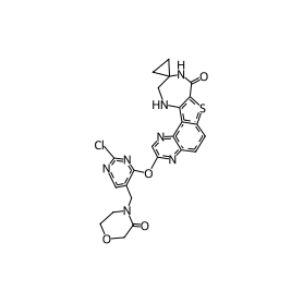 O=C1NC2(CC2)CNc2c1sc1ccc3nc(Oc4nc(Cl)ncc4CN4CCOCC4=O)cnc3c21